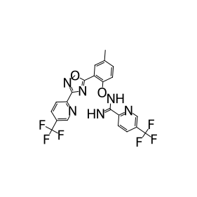 Cc1ccc(ONC(=N)c2ccc(C(F)(F)F)cn2)c(-c2nc(-c3ccc(C(F)(F)F)cn3)no2)c1